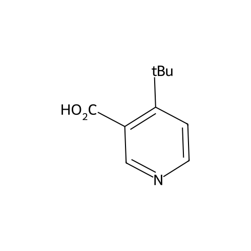 CC(C)(C)c1ccncc1C(=O)O